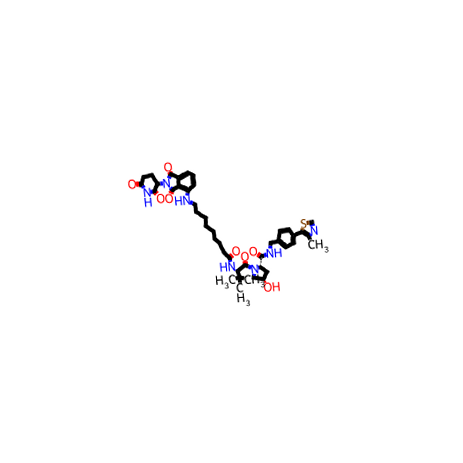 Cc1ncsc1-c1ccc(CNC(=O)[C@@H]2C[C@@H](O)CN2C(=O)[C@@H](NC(=O)CCCCCCCCNc2cccc3c2C(=O)N(C2CCC(=O)NC2=O)C3=O)C(C)(C)C)cc1